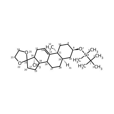 CC(C)(C)[Si](C)(C)O[C@@H]1CC[C@]2(C)C3=CC[C@@]4(C)C(CCC45OCCO5)C3CC[C@@H]2C1